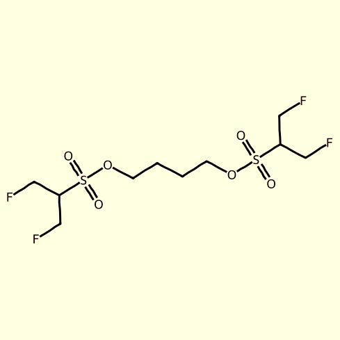 O=S(=O)(OCCCCOS(=O)(=O)C(CF)CF)C(CF)CF